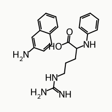 N=C(N)NCCCC(Nc1ccccc1)C(=O)O.Nc1ccc2ccccc2c1